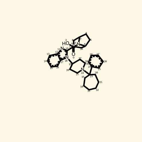 O=C(O)N1C2CCC1CN(c1nc3ccccc3n1C1CCN(C3(c4ccccc4)CCCCCC3)CC1)C2